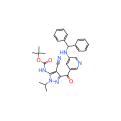 CC(C)n1nc(C(=O)c2cncc(NC(c3ccccc3)c3ccccc3)c2)c(C#N)c1NC(=O)OC(C)(C)C